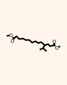 COC(=O)CCCCCCCCCC(CCC(=O)OC)C(C)C